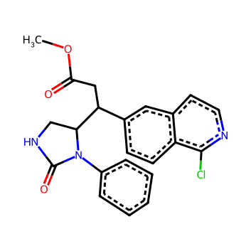 COC(=O)CC(c1ccc2c(Cl)nccc2c1)C1CNC(=O)N1c1ccccc1